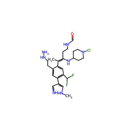 CN/C=C(\C=N)c1cc(CCNN)c(/C(C)=C(/CCNC=O)NC2CCN(Cl)CC2)cc1C(F)F